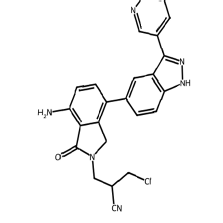 N#CC(CCl)CN1Cc2c(-c3ccc4[nH]nc(-c5cccnc5)c4c3)ccc(N)c2C1=O